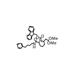 COC(CC1CCCC(C(=O)NCCCCc2ccccc2)N1C(=O)OCC1c2ccccc2-c2ccccc21)OC